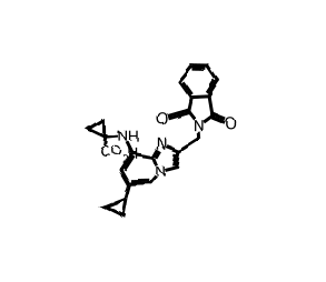 O=C1c2ccccc2C(=O)N1Cc1cn2cc(C3CC3)cc(NC3(C(=O)O)CC3)c2n1